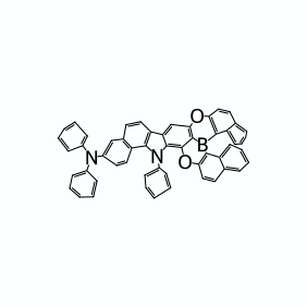 c1ccc(N(c2ccccc2)c2ccc3c(ccc4c5cc6c7c(c5n(-c5ccccc5)c34)Oc3ccc4ccccc4c3B7c3c(ccc4ccccc34)O6)c2)cc1